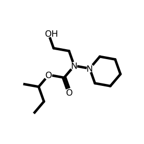 CCC(C)OC(=O)N(CCO)N1CCCCC1